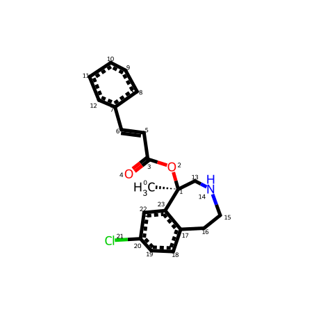 C[C@]1(OC(=O)/C=C/c2ccccc2)CNCCc2ccc(Cl)cc21